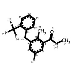 CNC(=O)c1cc(F)cc(Cc2ccccc2C(F)(F)F)c1C